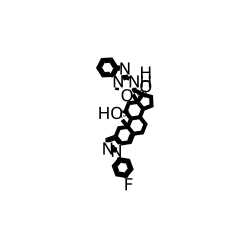 Cn1c(NC(=O)[C@@]2(O)CCC3C4CCC5=Cc6c(cnn6-c6ccc(F)cc6)CC5(C)C4[C@@H](O)CC32C)nc2ccccc21